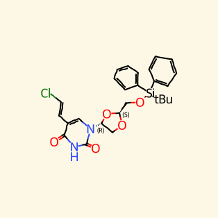 CC(C)(C)[Si](OC[C@H]1OC[C@H](n2cc(C=CCl)c(=O)[nH]c2=O)O1)(c1ccccc1)c1ccccc1